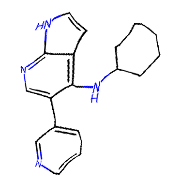 c1cncc(-c2cnc3[nH]ccc3c2NC2CCCCC2)c1